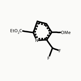 CCOC(=O)c1ccc(OC)c(C(F)F)n1